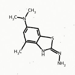 Cc1cc(N(C)C)cc2s/c(=N/N)[nH]c12